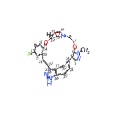 Cn1ncc2c1OCCN1CC[C@@H](Oc3ccc(F)cc3/C=C/c3n[nH]c4ccc-2cc34)C1=O